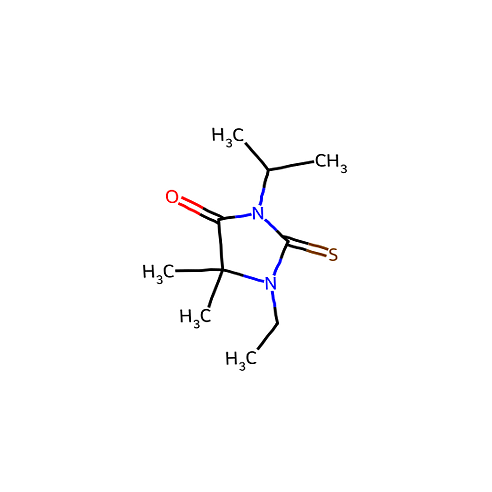 CCN1C(=S)N(C(C)C)C(=O)C1(C)C